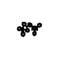 c1ccc(-c2cc(-c3cccc(C4c5ccccc5-c5c(n(-c6ccccc6)c6ccccc56)-c5ccccc54)c3)nc(-c3ccccc3)n2)cc1